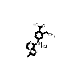 CCc1cc(Nc2nccn3c(I)cnc23)ccc1C(=O)O.Cl